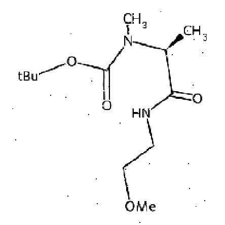 COCCNC(=O)[C@H](C)N(C)C(=O)OC(C)(C)C